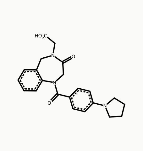 O=C(O)CN1Cc2ccccc2N(C(=O)c2ccc(N3CCCC3)cc2)CC1=O